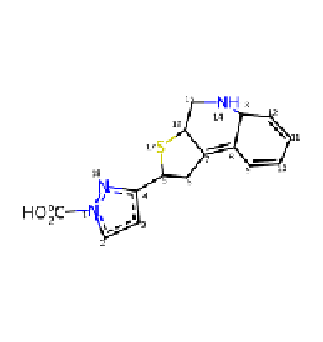 O=C(O)n1ccc(C2CC3=C4C=CC=CC4NCC3S2)n1